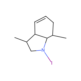 CC1CN(I)C2C(C)CC=CC12